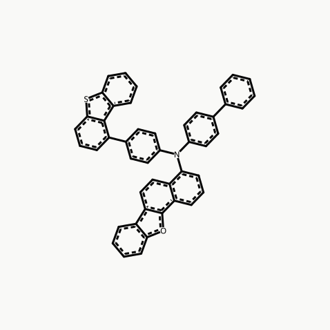 c1ccc(-c2ccc(N(c3ccc(-c4cccc5sc6ccccc6c45)cc3)c3cccc4c3ccc3c5ccccc5oc43)cc2)cc1